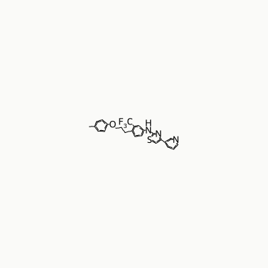 Cc1ccc(OCCCc2ccc(Nc3nc(-c4cccnc4)cs3)cc2C(F)(F)F)cc1